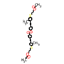 C=CC(=O)OCCCCSc1ccc(C#Cc2ccc(OC(=O)c3ccc(C#Cc4ccc(SCCCCOC(=O)C=C)cc4C)cc3)cc2)c(C)c1